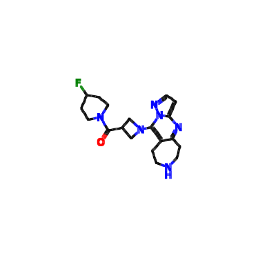 O=C(C1CN(c2c3c(nc4ccnn24)CCNCC3)C1)N1CCC(F)CC1